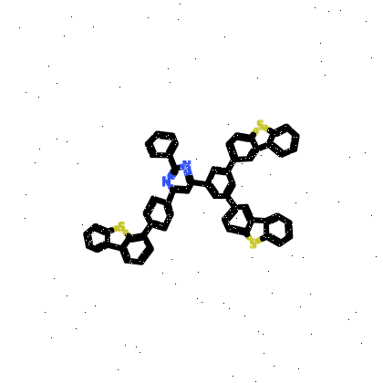 c1ccc(-c2nc(-c3ccc(-c4cccc5c4sc4ccccc45)cc3)cc(-c3cc(-c4ccc5sc6ccccc6c5c4)cc(-c4ccc5sc6ccccc6c5c4)c3)n2)cc1